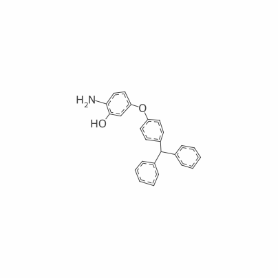 Nc1ccc(Oc2ccc(C(c3ccccc3)c3ccccc3)cc2)cc1O